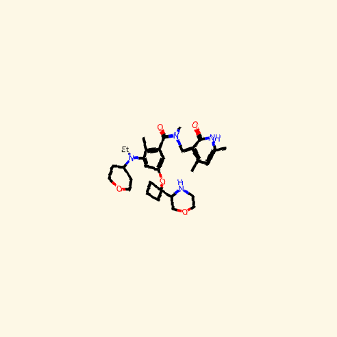 CCN(c1cc(OC2(C3COCCN3)CCC2)cc(C(=O)N(C)Cc2c(C)cc(C)[nH]c2=O)c1C)C1CCOCC1